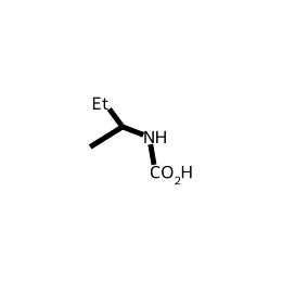 CCC(C)NC(=O)O